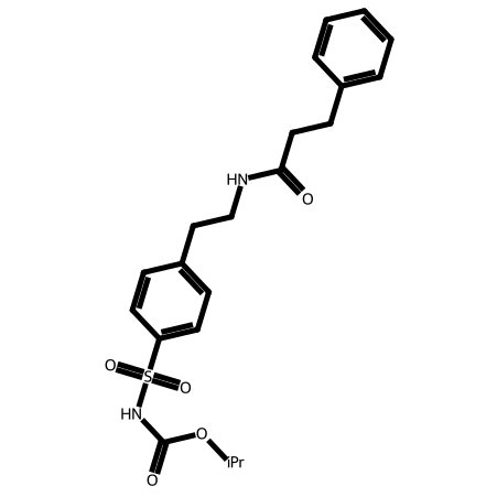 CC(C)OC(=O)NS(=O)(=O)c1ccc(CCNC(=O)CCc2ccccc2)cc1